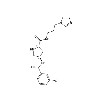 O=C(N[C@H]1CN[C@H](C(=O)NCCCn2ccnc2)C1)c1cccc(Cl)c1